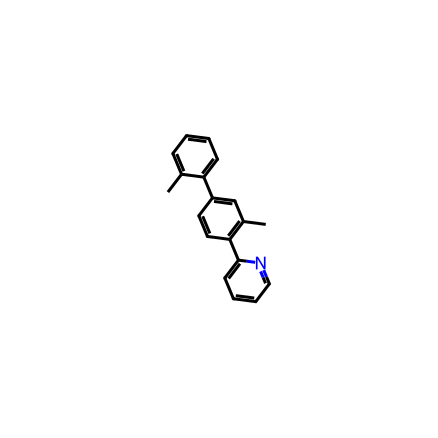 Cc1ccccc1-c1ccc(-c2ccccn2)c(C)c1